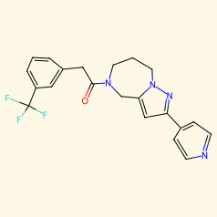 O=C(Cc1cccc(C(F)(F)F)c1)N1CCCn2nc(-c3ccncc3)cc2C1